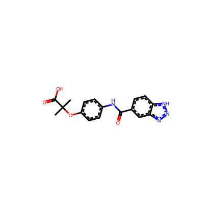 CC(C)(Oc1ccc(NC(=O)c2ccc3[nH]nnc3c2)cc1)C(=O)O